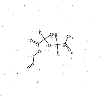 C=CCOC(=O)C(F)(OC(F)(F)C(=O)C(F)(F)F)C(F)(F)F